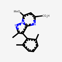 COc1cc(C(=O)O)nc2c(-c3c(C)cccc3C)c(C)nn12